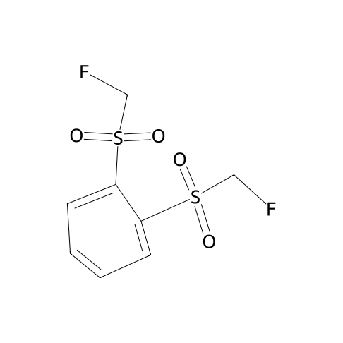 O=S(=O)(CF)c1ccccc1S(=O)(=O)CF